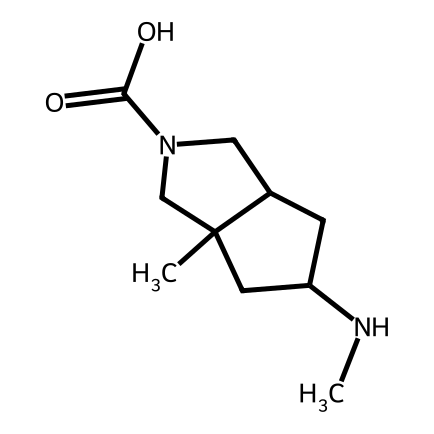 CNC1CC2CN(C(=O)O)CC2(C)C1